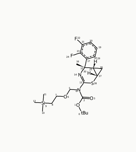 CC(C)(C)OC(=O)N(COCC[Si](C)(C)C)C1=N[C@](C)(c2cccc(F)c2F)[C@@H]2C[C@@H]2S1